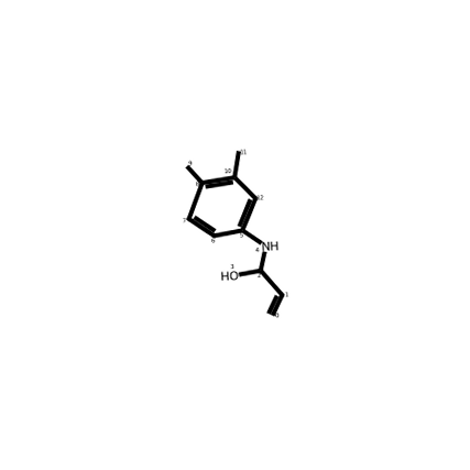 C=CC(O)Nc1ccc(C)c(C)c1